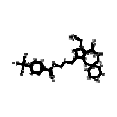 CCn1nc(CCCOC(=O)c2ccc(C(F)(F)F)cc2)c2c1C(=O)NCC1(CCOCC1)C2